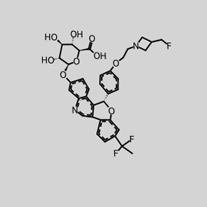 CC(F)(F)c1ccc2c(c1)O[C@@H](c1ccc(OCCN3CC(CF)C3)cc1)c1c-2cnc2cc(O[C@@H]3O[C@H](C(=O)O)[C@@H](O)[C@H](O)[C@H]3O)ccc12